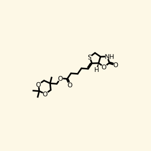 CC1(COC(=O)CCCC=C2SCC3NC(=O)O[C@H]23)COC(C)(C)OC1